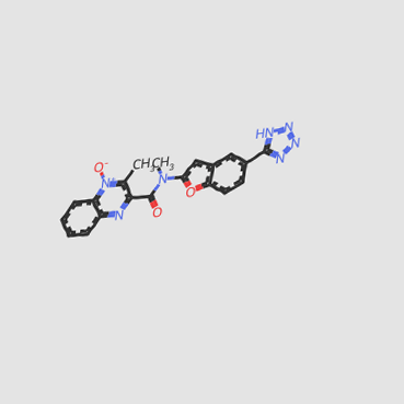 Cc1c(C(=O)N(C)c2cc3cc(-c4nnn[nH]4)ccc3o2)nc2ccccc2[n+]1[O-]